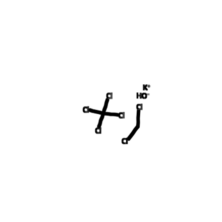 ClC(Cl)(Cl)Cl.ClCCl.[K+].[OH-]